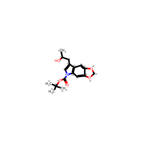 CC(O)Cc1cn(C(=O)OC(C)(C)C)c2cc3c(cc12)OCO3